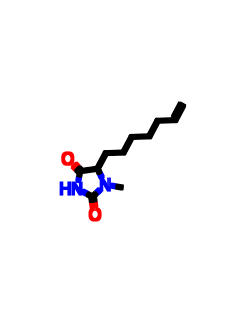 C=CCCCCCC1C(=O)NC(=O)N1C